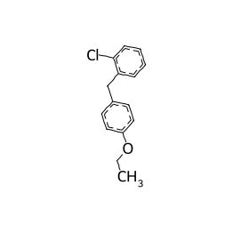 CCOc1ccc(Cc2ccccc2Cl)cc1